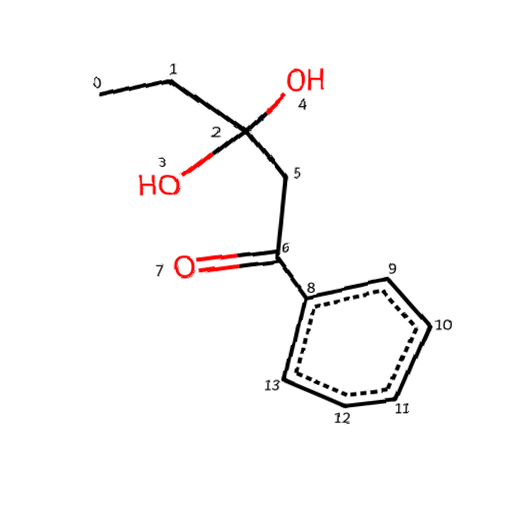 CCC(O)(O)CC(=O)c1ccccc1